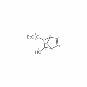 CCOC(=O)C1C2C=CC(C2)C1O